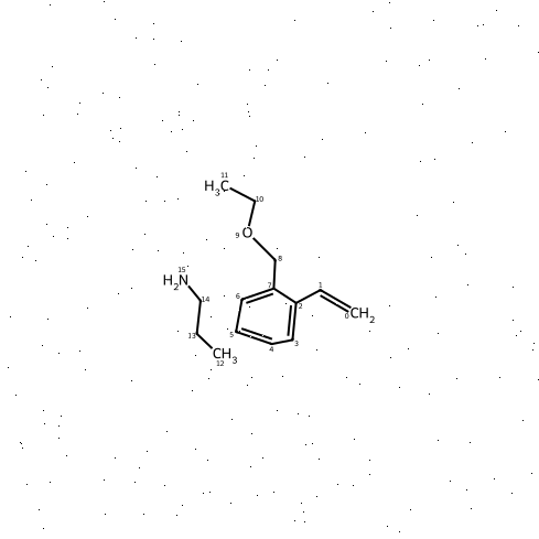 C=Cc1ccccc1COCC.CCCN